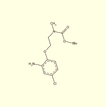 CN(CCOc1ccc(Cl)cc1N)C(=O)OC(C)(C)C